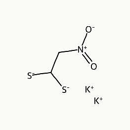 O=[N+]([O-])CC([S-])[S-].[K+].[K+]